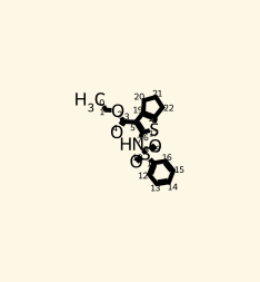 CCOC(=O)c1c(NS(=O)(=O)c2ccccc2)sc2c1CCC2